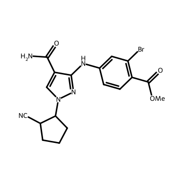 COC(=O)c1ccc(Nc2nn(C3CCCC3C#N)cc2C(N)=O)cc1Br